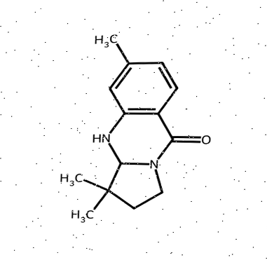 Cc1ccc2c(c1)NC1N(CCC1(C)C)C2=O